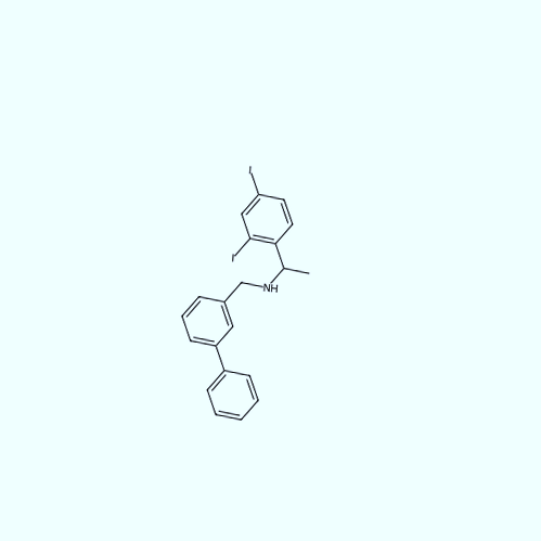 CC(NCc1cccc(-c2ccccc2)c1)c1ccc(I)cc1I